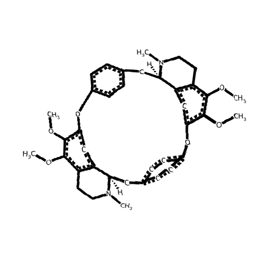 COc1c2cc3c(c1OC)CCN(C)[C@@H]3Cc1ccc(cc1)Oc1cc3c(c(OC)c1OC)CCN(C)[C@@H]3Cc1ccc(cc1)O2